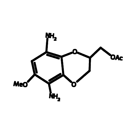 COc1cc(N)c2c(c1N)OCC(COC(C)=O)O2